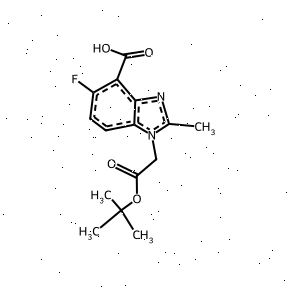 Cc1nc2c(C(=O)O)c(F)ccc2n1CC(=O)OC(C)(C)C